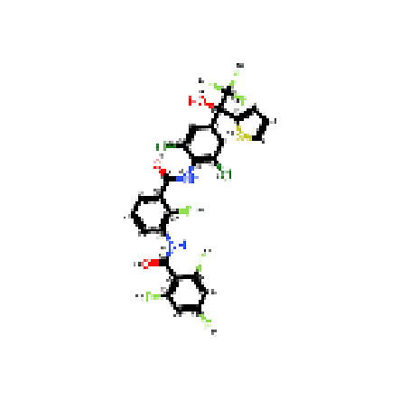 O=C(NC1=C(Cl)CC(C(O)(c2cccs2)C(F)(F)F)C=C1Cl)c1cccc(NC(=O)c2c(F)cc(F)cc2F)c1F